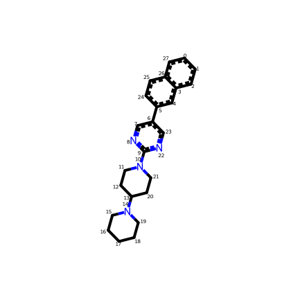 c1ccc2cc(-c3cnc(N4CCC(N5CCCCC5)CC4)nc3)ccc2c1